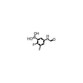 O=CNc1cc(F)c(F)c(B(O)O)c1